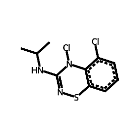 CC(C)NC1=NSc2cccc(Cl)c2N1Cl